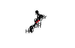 CNS(=O)(=O)c1cccc(OC[C@@H](O)CNC2COC3(CCN(S(=O)(=O)c4cc(Br)ccc4OCCN4CCCC4)CC3)C2)c1